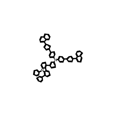 c1ccc(-c2cccc3c4c(-c5cccc(N(c6ccc(-c7ccc(-c8cccc9ccccc89)cc7)cc6)c6ccc(-c7ccc(-c8cccc9ccccc89)cc7)cc6)c5)cccc4n(-c4ccccc4)c23)cc1